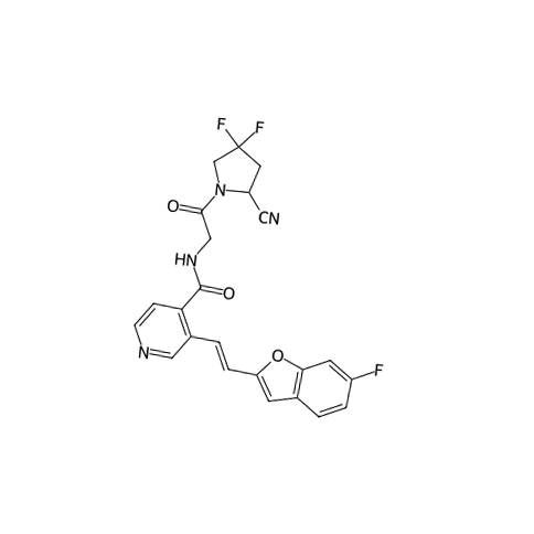 N#CC1CC(F)(F)CN1C(=O)CNC(=O)c1ccncc1C=Cc1cc2ccc(F)cc2o1